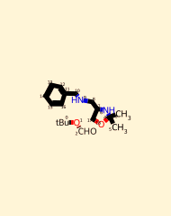 CC(C)(C)OC=O.CC1(C)NC(CNCc2ccccc2)CO1